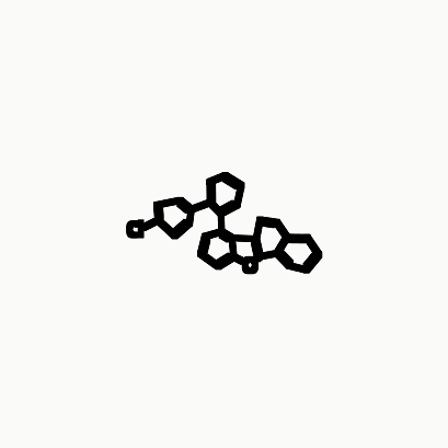 Clc1ccc(-c2ccccc2-c2cccc3oc4c5ccccc5ccc4c23)cc1